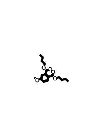 CCCCOC(=O)c1ccc(OC)cc1C(=O)OCCCC